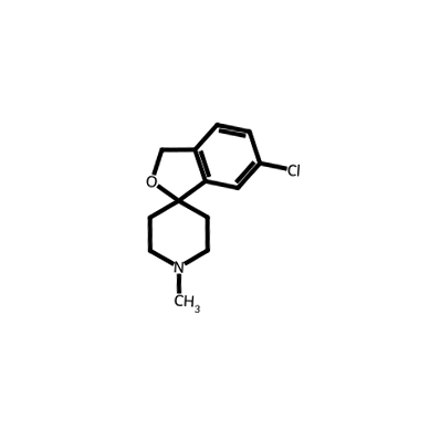 CN1CCC2(CC1)OCc1ccc(Cl)cc12